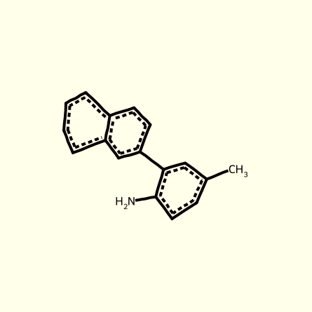 Cc1ccc(N)c(-c2ccc3ccccc3c2)c1